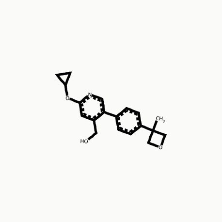 CC1(c2ccc(-c3cnc(OC4CC4)cc3CO)cc2)COC1